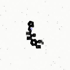 N#Cc1ccc(NC(=O)N/C=C/c2cccs2)cc1C(F)(F)F